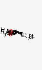 CCOC(=O)[C@H]1C[C@@H]1CCc1ccc(B2OCC(C)(C)CO2)cc1